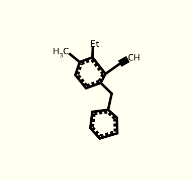 C#Cc1c(Cc2ccccc2)ccc(C)c1CC